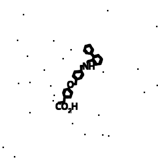 O=C(O)CCc1ccc(OCc2ccc(CNCc3ccccc3-c3ccccc3)cc2)cc1